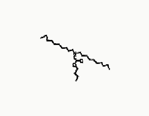 CCCCCCCCCCN(CCCCCCCCCC)CC(=O)OCCCC